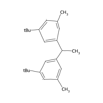 Cc1[c]c(C(C)(C)C)cc(C(C)c2cc(C)[c]c(C(C)(C)C)c2)c1